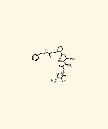 CCC(C)C(C(CC(=O)N1CCCC1CCC(=O)NCCc1ccccc1)OC)N(C)C(=O)CNC(=O)C(C(C)C)N(C)C